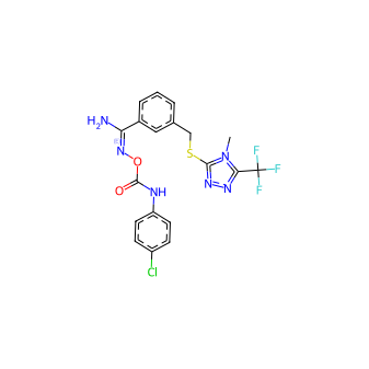 Cn1c(SCc2cccc(/C(N)=N\OC(=O)Nc3ccc(Cl)cc3)c2)nnc1C(F)(F)F